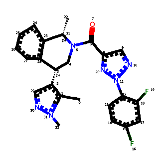 Cc1c([C@H]2CN(C(=O)c3cnn(-c4ccc(F)cc4F)n3)[C@@H](C)c3ccccc32)cnn1C